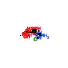 [B-][P@@](=O)(OC[C@H]1O[C@@H](n2cnc3c(N)nc(Cl)nc32)[C@H](O)[C@@H]1O)OP(=O)(O)O